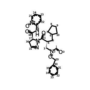 O=CN(C[C@@H](CC1CCCC1)C(=O)N1N=CC[C@H]1C(=O)Nc1cccc[n+]1[O-])OCc1ccccc1